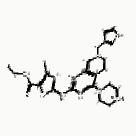 CCOC(=O)c1sc(Nc2nc3c(c(N4CCNCC4)n2)CCN(Cc2ccoc2)C3)nc1C